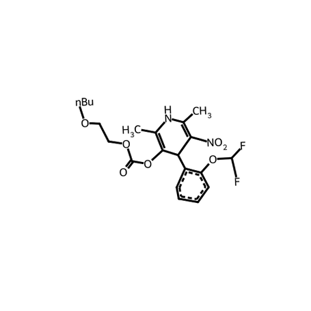 CCCCOCCOC(=O)OC1=C(C)NC(C)=C([N+](=O)[O-])C1c1ccccc1OC(F)F